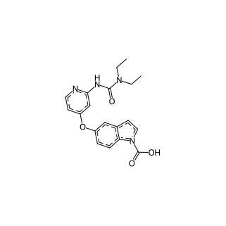 CCN(CC)C(=O)Nc1cc(Oc2ccc3c(ccn3C(=O)O)c2)ccn1